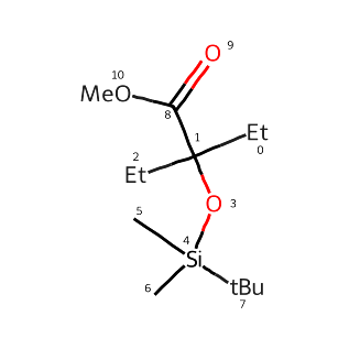 CCC(CC)(O[Si](C)(C)C(C)(C)C)C(=O)OC